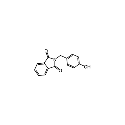 O=C1c2ccccc2C(=O)N1Cc1ccc(O)cc1